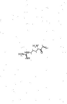 N=C(N)NCCC[C@H](N)C(=O)C=S